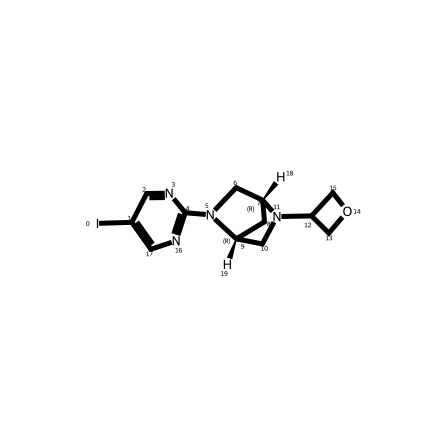 Ic1cnc(N2C[C@H]3C[C@@H]2CN3C2COC2)nc1